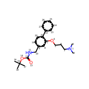 CN(C)CCCOc1cc(CNC(=O)OC(C)(C)C)ccc1-c1ccccc1